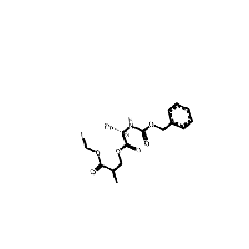 CC(COC(=O)[C@@H](NC(=O)OCc1ccccc1)C(C)C)C(=O)OCI